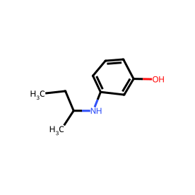 CCC(C)Nc1cccc(O)c1